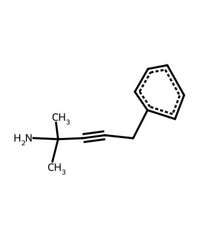 CC(C)(N)C#CCc1ccccc1